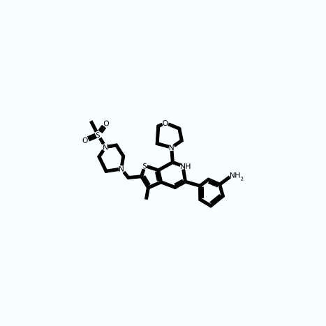 Cc1c(CN2CCN(S(C)(=O)=O)CC2)sc2c1C=C(c1cccc(N)c1)NC2N1CCOCC1